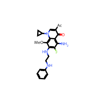 COc1c(NCCNc2ccccc2)c(F)c(N)c2c(=O)c(C(C)=O)cn(C3CC3)c12